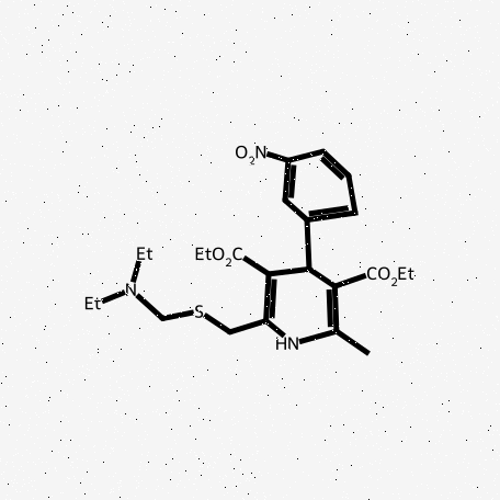 CCOC(=O)C1=C(C)NC(CSCN(CC)CC)=C(C(=O)OCC)C1c1cccc([N+](=O)[O-])c1